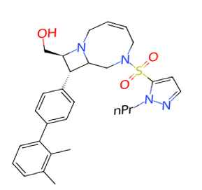 CCCn1nccc1S(=O)(=O)N1C/C=C\CN2C(C1)[C@H](c1ccc(-c3cccc(C)c3C)cc1)[C@H]2CO